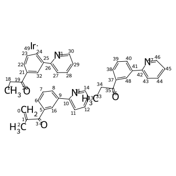 C=C(C)C(=O)c1cccc(-c2ccccn2)c1.CCC(=O)c1cccc(-c2ccccn2)c1.CCC(=O)c1cccc(-c2ccccn2)c1.[Ir]